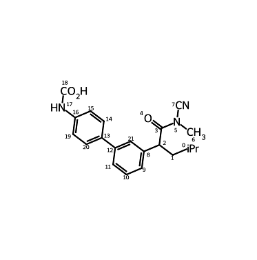 CC(C)CC(C(=O)N(C)C#N)c1cccc(-c2ccc(NC(=O)O)cc2)c1